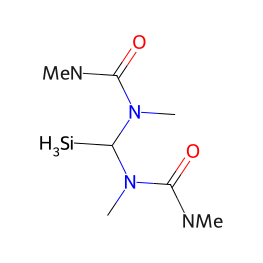 CNC(=O)N(C)C([SiH3])N(C)C(=O)NC